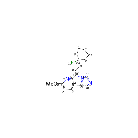 COc1ccc2c(n1)[C@H](CCC1(F)CCCCC1)n1cncc1-2